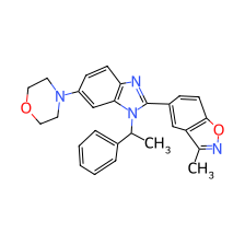 Cc1noc2ccc(-c3nc4ccc(N5CCOCC5)cc4n3C(C)c3ccccc3)cc12